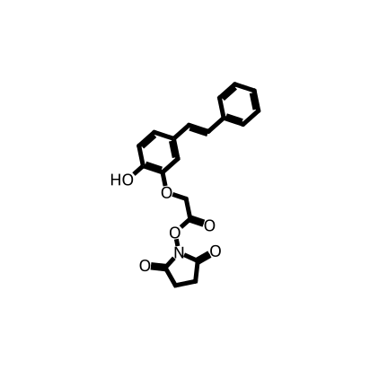 O=C(COc1cc(/C=C/c2ccccc2)ccc1O)ON1C(=O)CCC1=O